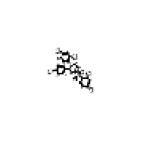 O=S(=O)(c1ccc(Cl)cc1Cl)N1CCN(c2ccc(Cl)cc2Cl)C(c2ccc(Cl)cc2)C1